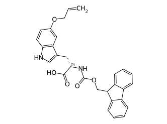 C=CCOc1ccc2[nH]cc(C[C@H](NC(=O)OCC3c4ccccc4-c4ccccc43)C(=O)O)c2c1